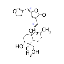 C=C1CCC2C(C)(CO)C(O)CCC2(C)C1/C=C/C1=CC(=C\c2ccoc2)/OC1=O